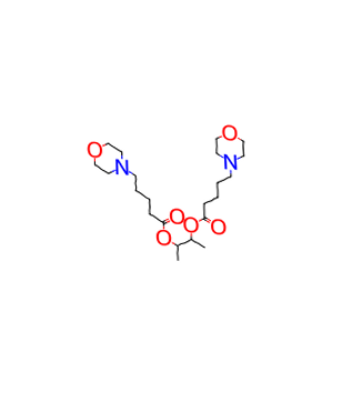 CC(OC(=O)CCCCN1CCOCC1)C(C)OC(=O)CCCCN1CCOCC1